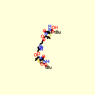 CC(C)(C)OC(=O)N[C@@H]1C(=O)N2[C@@H]1SC(C)(C)[C@@H]2C(=O)OCc1cn(CCCOC(=O)[C@@H]2N3C(=O)[C@@H](NC(O)OC(C)(C)C)[C@H]3SC2(C)C)nn1